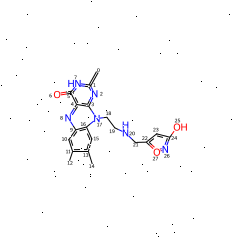 C=c1nc2c(c(=O)[nH]1)=Nc1cc(C)c(C)cc1N2CCNCc1cc(O)no1